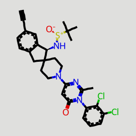 C#Cc1ccc2c(c1)[C@@H](N[S@+]([O-])C(C)(C)C)C1(CCN(c3cc(=O)n(-c4cccc(Cl)c4Cl)c(C)n3)CC1)C2